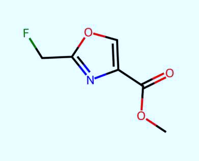 COC(=O)c1coc(CF)n1